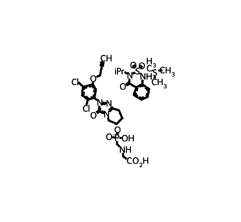 C#CCOc1cc(-n2nc3n(c2=O)CCCC3)c(Cl)cc1Cl.CC(C)N1C(=O)c2ccccc2NS1(=O)=O.C[S+](C)C.O=C(O)CNCP(=O)([O-])O